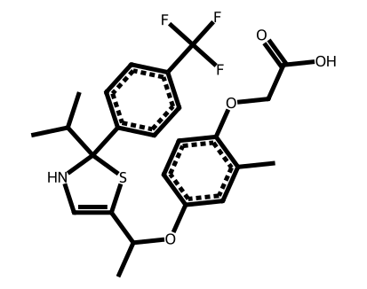 Cc1cc(OC(C)C2=CNC(c3ccc(C(F)(F)F)cc3)(C(C)C)S2)ccc1OCC(=O)O